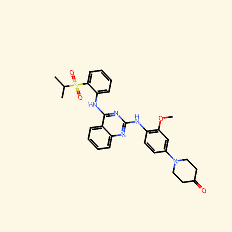 COc1cc(N2CCC(=O)CC2)ccc1Nc1nc(Nc2ccccc2S(=O)(=O)C(C)C)c2ccccc2n1